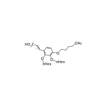 CCCCCCOc1c(/C=C/C(=O)O)ccc(OCCCCOC(C)=O)c1OCCCCCC